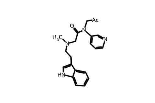 CC(=O)CN(C(=O)CN(C)CCc1c[nH]c2ccccc12)c1cccnc1